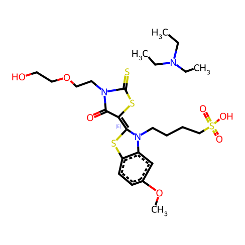 CCN(CC)CC.COc1ccc2c(c1)N(CCCCS(=O)(=O)O)/C(=C1\SC(=S)N(CCOCCO)C1=O)S2